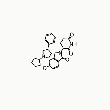 O=C1CCC(N2Cc3cc(O[C@@H]4CCC[C@@H]4N4CC[C@H](c5ccccc5)C4)ccc3C2=O)C(=O)N1